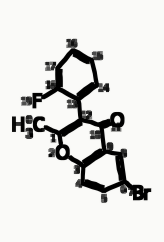 Cc1oc2ccc(Br)cc2c(=O)c1-c1ccccc1F